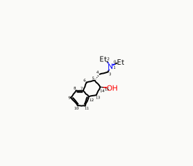 CCN(CC)CC[C@H]1Cc2ccccc2C[C@@H]1O